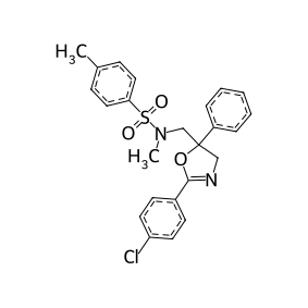 Cc1ccc(S(=O)(=O)N(C)CC2(c3ccccc3)CN=C(c3ccc(Cl)cc3)O2)cc1